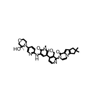 Cn1cc(-c2ccnc(-n3ccn4c5c(cc4c3=O)CC(C)(C)C5)c2CO)cc(Nc2ccc(N3CCOC[C@]3(C)O)cn2)c1=O